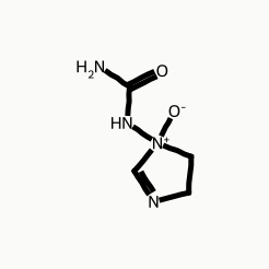 NC(=O)N[N+]1([O-])C=NCC1